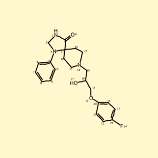 O=C1NCN(c2ccccc2)C12CCN(CC(O)COc1ccc(F)cc1)CC2